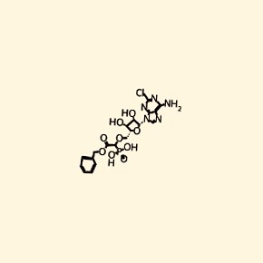 Nc1nc(Cl)nc2c1ncn2[C@@H]1O[C@H](COC(C(=O)OCc2ccccc2)P(=O)(O)O)[C@@H](O)[C@H]1O